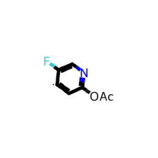 CC(=O)Oc1c[c]c(F)cn1